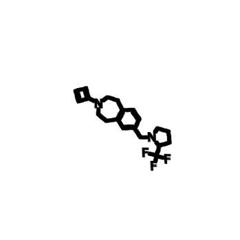 FC(F)(F)C1CCCN1Cc1ccc2c(c1)CCN(C1=CC=C1)CC2